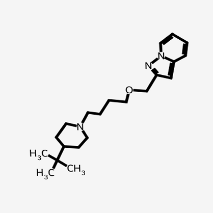 CC(C)(C)C1CCN(CCCCOCc2cc3ccccn3n2)CC1